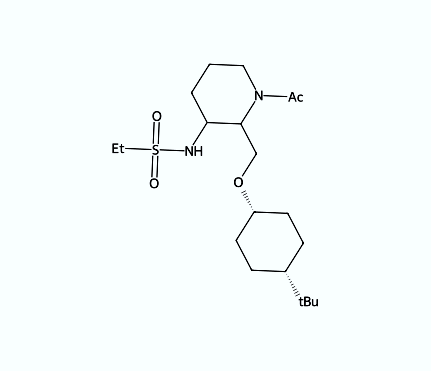 CCS(=O)(=O)NC1CCCN(C(C)=O)C1CO[C@H]1CC[C@@H](C(C)(C)C)CC1